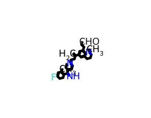 C=C(CCN1CCC(C(=N)C2=C(C)C=C(F)CC2)CC1)c1cc(CCC=O)c2c(c1)CCCN2C